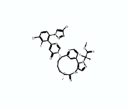 C[C@@H]1CCC[C@H](n2cnc(-c3c(-n4cc(Cl)nn4)ccc(Cl)c3F)cc2=O)c2cc(ccn2)-c2c(cnn2C(F)(F)C(=O)OF)NC1=O